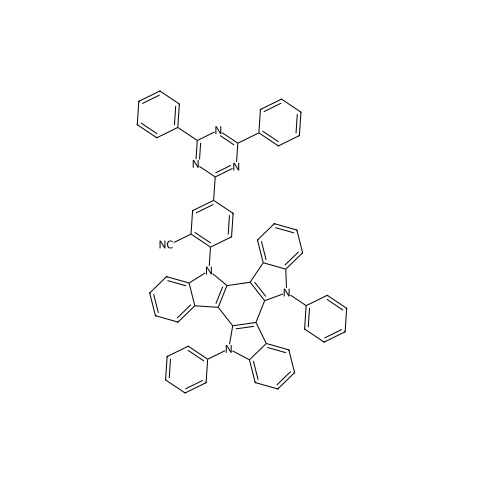 N#Cc1cc(-c2nc(-c3ccccc3)nc(-c3ccccc3)n2)ccc1-n1c2ccccc2c2c3c(c4ccccc4n3-c3ccccc3)c3c(c4ccccc4n3-c3ccccc3)c21